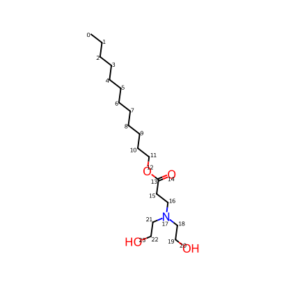 CCCCCCCCCCCCOC(=O)CCN(CCO)CCO